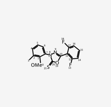 COc1c(C)cccc1-n1nc(-c2c(F)cccc2F)oc1=S